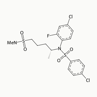 CNS(=O)(=O)CCC[C@@H](C)N(c1ccc(Cl)cc1F)S(=O)(=O)c1ccc(Cl)cc1